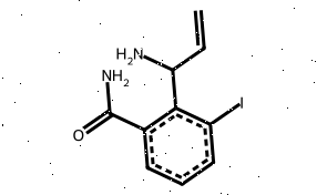 C=CC(N)c1c(I)cccc1C(N)=O